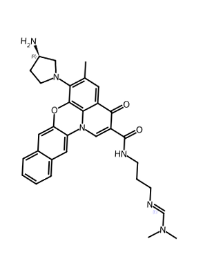 Cc1cc2c(=O)c(C(=O)NCCC/N=C/N(C)C)cn3c2c(c1N1CC[C@@H](N)C1)Oc1cc2ccccc2cc1-3